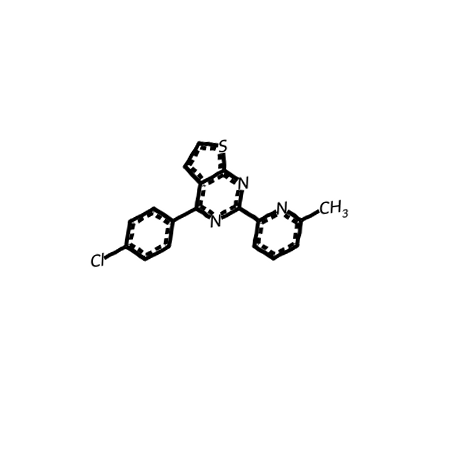 Cc1cccc(-c2nc(-c3ccc(Cl)cc3)c3ccsc3n2)n1